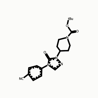 CC(C)(C)OC(=O)N1CCC(n2ncn(-c3ccc(C#N)cc3)c2=O)CC1